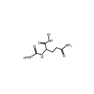 CCCCCCCC(=O)NC(CCC(N)=O)C(=O)NCC